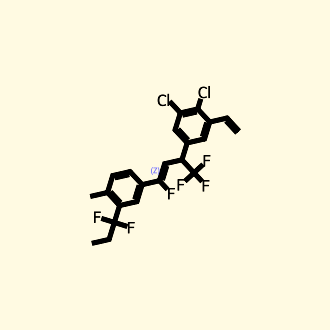 C=Cc1cc(C(/C=C(\F)c2ccc(C)c(C(F)(F)CC)c2)C(F)(F)F)cc(Cl)c1Cl